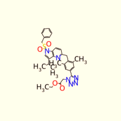 CCOC(=O)Cn1nnnc1-c1cc(C)c(Cc2ccc3c(n2)c(C(C)C)cn3S(=O)(=O)Cc2ccccc2)c(C)c1